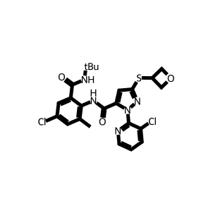 Cc1cc(Cl)cc(C(=O)NC(C)(C)C)c1NC(=O)c1cc(SC2COC2)nn1-c1ncccc1Cl